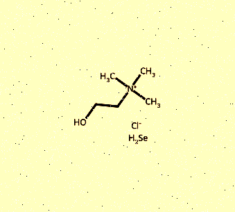 C[N+](C)(C)CCO.[Cl-].[SeH2]